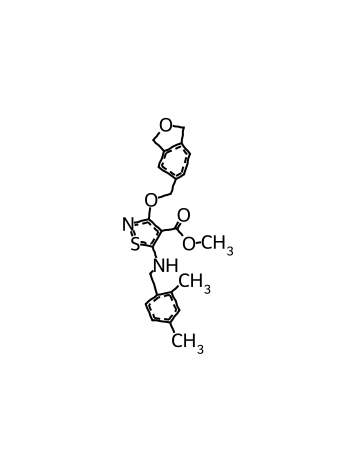 COC(=O)c1c(OCc2ccc3c(c2)COC3)nsc1NCc1ccc(C)cc1C